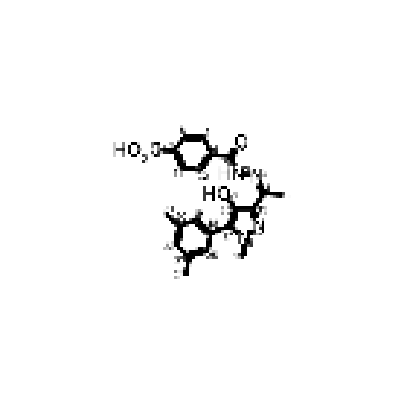 C/C(=N/NC(=O)c1ccc(C(=O)O)cc1)c1nn(C)c(-c2cc(C)cc(C)c2)c1O